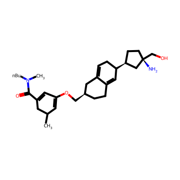 CCCCN(C)C(=O)C1=CC(OC[C@@H]2CCC3=CC([C@H]4CC[C@](N)(CO)C4)CC=C3C2)=CC(C)C1